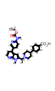 C[C@@H](c1cc2c(-c3ccc(N(C)C(=O)OC(C)(C)C)nc3)ccnc2n1C)N1CCC(c2ccc(C(=O)O)cc2)CC1